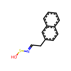 OSN=CCc1ccc2ccccc2c1